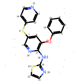 c1ccc(Oc2cc(Sc3ccncc3)cnc2Nc2nccs2)cc1